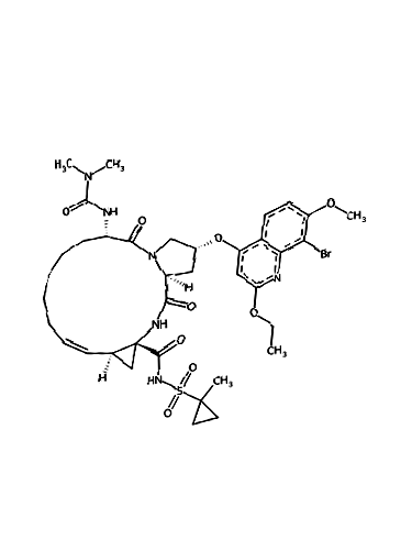 CCOc1cc(O[C@@H]2C[C@H]3C(=O)N[C@]4(C(=O)NS(=O)(=O)C5(C)CC5)C[C@H]4C=CCCCCC[C@H](NC(=O)N(C)C)C(=O)N3C2)c2ccc(OC)c(Br)c2n1